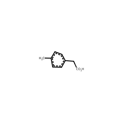 Cc1c[c]c(CC(=O)O)cc1